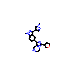 Cn1cc(-c2nn(C)c3ccc(-c4nc(C5CCOC5)n5c4CNCC5)cc23)cn1